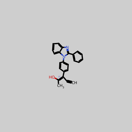 C#C/C(=C(\C)O)c1ccc(-n2c(-c3ccccc3)nc3ccccc32)cc1